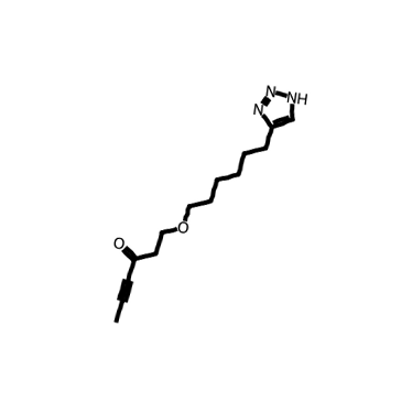 CC#CC(=O)CCOCCCCCCc1c[nH]nn1